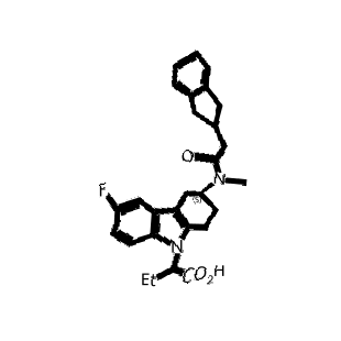 CCC(C(=O)O)n1c2c(c3cc(F)ccc31)C[C@@H](N(C)C(=O)CC1Cc3ccccc3C1)CC2